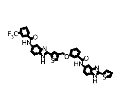 O=C(Nc1ccc2[nH]c(-c3cccs3)nc2c1)c1cccc(OCc2csc(-c3nc4cc(NC(=O)c5cccc(C(F)(F)F)c5)ccc4[nH]3)c2)c1